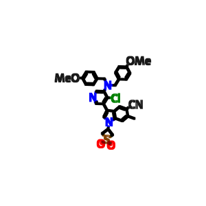 COc1ccc(CN(Cc2ccc(OC)cc2)c2cncc(-c3cn(C4CS(=O)(=O)C4)c4cc(C)c(C#N)cc34)c2Cl)cc1